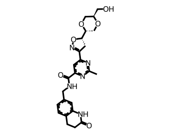 Cc1nc(C(=O)NCc2ccc3c(c2)NC(=O)CC3)cc(C2=NO[C@H]([C@H]3CO[C@H](CO)CO3)C2)n1